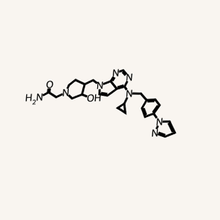 NC(=O)CN1CCC(Cn2ccc3c(N(Cc4ccc(-n5cccn5)cc4)C4CC4)ncnc32)C(O)C1